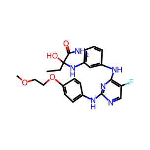 CCC(O)(Nc1cccc(Nc2nc(Nc3ccc(OCCOC)cc3)ncc2F)c1)C(N)=O